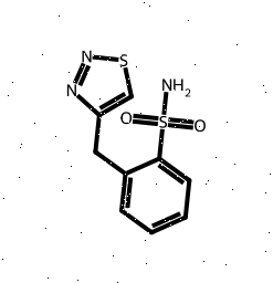 NS(=O)(=O)c1ccccc1Cc1csnn1